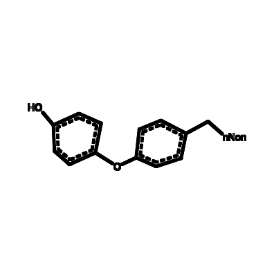 CCCCCCCCCCc1ccc(Oc2ccc(O)cc2)cc1